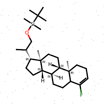 CC(CO[Si](C)(C)C(C)(C)C)[C@H]1CC[C@H]2[C@@H]3CCC4C(F)=CCC[C@]4(C)[C@H]3CC[C@]12C